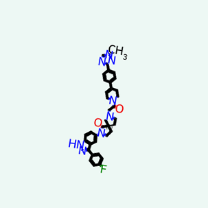 Cn1cnc(-c2ccc(C3=CCN(C(=O)CN4CC[C@]5(CCN(c6ccc7[nH]nc(-c8ccc(F)cc8)c7c6)C5=O)C4)CC3)cc2)n1